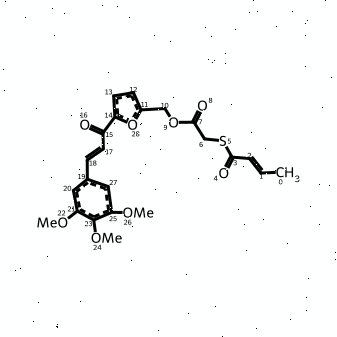 C/C=C/C(=O)SCC(=O)OCc1ccc(C(=O)C=Cc2cc(OC)c(OC)c(OC)c2)o1